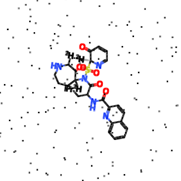 [2H]C1NCCCC([2H])(N(C(=O)C(CC(C)C)NC(=O)c2ccc3ccccc3n2)S(=O)(=O)[C@]2([2H])N=CC=CC2=O)C1=O